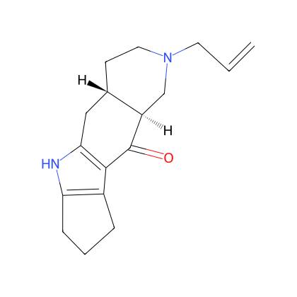 C=CCN1CC[C@H]2Cc3[nH]c4c(c3C(=O)[C@@H]2C1)CCC4